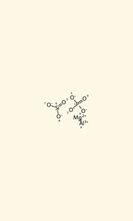 O=P([O-])([O-])[O-].O=[Si]([O-])[O-].[Al+3].[Mg+2]